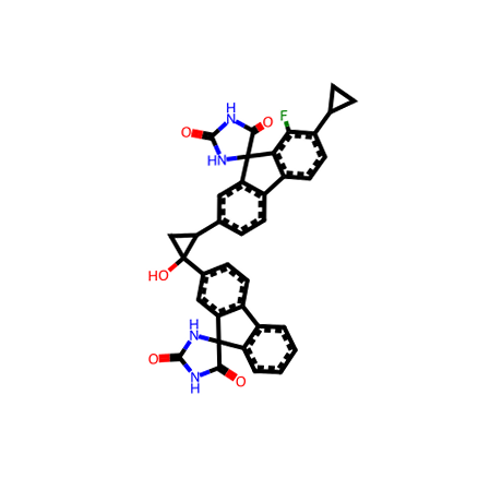 O=C1NC(=O)C2(N1)c1ccccc1-c1ccc(C3(O)CC3c3ccc4c(c3)C3(NC(=O)NC3=O)c3c-4ccc(C4CC4)c3F)cc12